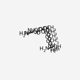 CC(=O)[O-].CC(=O)[O-].CC(=O)[O-].CC(=O)[O-].CC(=O)[O-].CC(=O)[O-].NCC(N)CCO.NCC(N)CCO.[Fe+2].[Fe+2].[Fe+2]